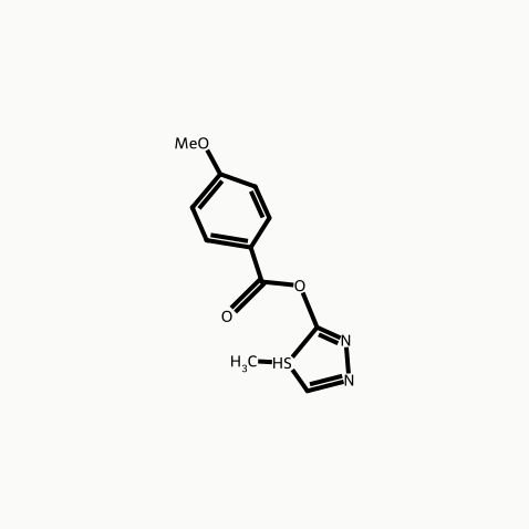 COc1ccc(C(=O)OC2=NN=C[SH]2C)cc1